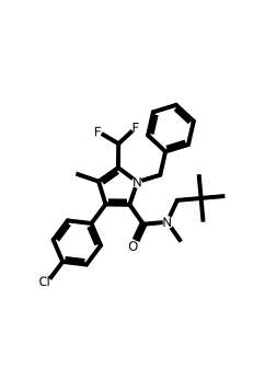 Cc1c(-c2ccc(Cl)cc2)c(C(=O)N(C)CC(C)(C)C)n(Cc2ccccc2)c1C(F)F